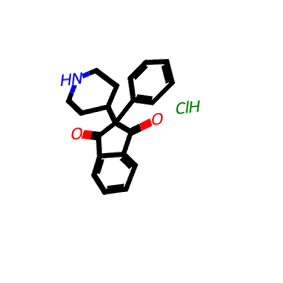 Cl.O=C1c2ccccc2C(=O)C1(c1ccccc1)C1CCNCC1